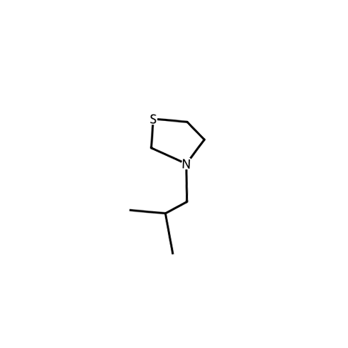 CC(C)CN1CCSC1